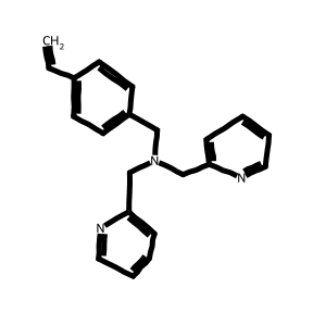 C=Cc1ccc(CN(Cc2ccccn2)Cc2ccccn2)cc1